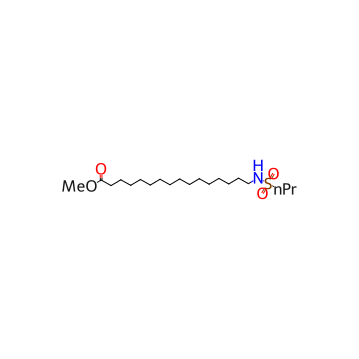 CCCS(=O)(=O)NCCCCCCCCCCCCCCCC(=O)OC